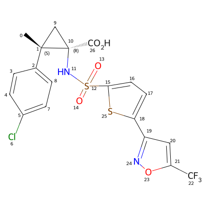 C[C@@]1(c2ccc(Cl)cc2)C[C@]1(NS(=O)(=O)c1ccc(-c2cc(C(F)(F)F)on2)s1)C(=O)O